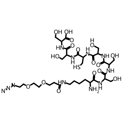 [N-]=[N+]=NCCOCCOCCC(=O)NCCCCC(N)C(=O)NC(CO)C(=O)NC(CO)C(=O)NC(CO)C(=O)NC(CS)C(=O)NC(CO)C(=O)NC(CO)C(=O)O